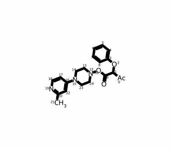 CC(=O)C(Oc1ccccc1)C(=O)ON1CCN(c2ccnc(C)c2)CC1